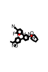 Cc1noc2cc(-c3ccc(C(=O)N4C5CCC4CC(N)C5)cc3-c3ccc(C#N)c(F)c3)c(F)cc12